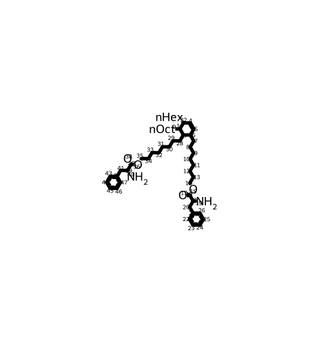 CCCCCCCCC1C(CCCCCC)C=CC(CCCCCCCCOC(=O)C(N)Cc2ccccc2)C1CCCCCCCCOC(=O)C(N)Cc1ccccc1